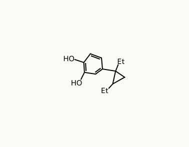 CCC1CC1(CC)c1ccc(O)c(O)c1